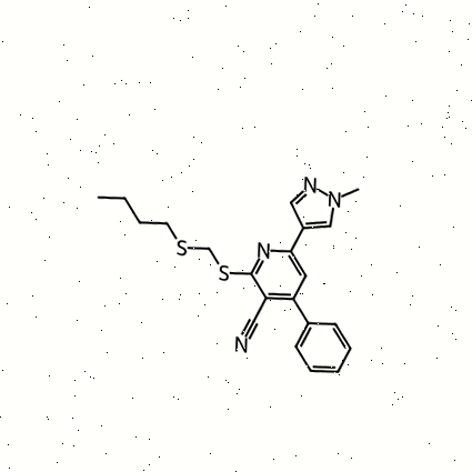 CCCCSCSc1nc(-c2cnn(C)c2)cc(-c2ccccc2)c1C#N